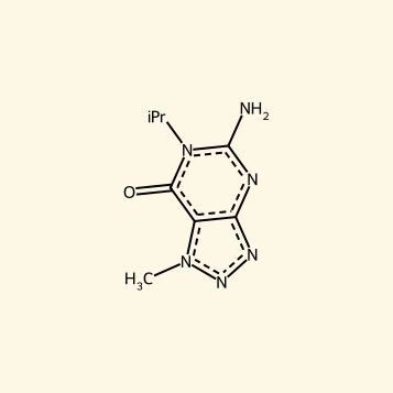 CC(C)n1c(N)nc2nnn(C)c2c1=O